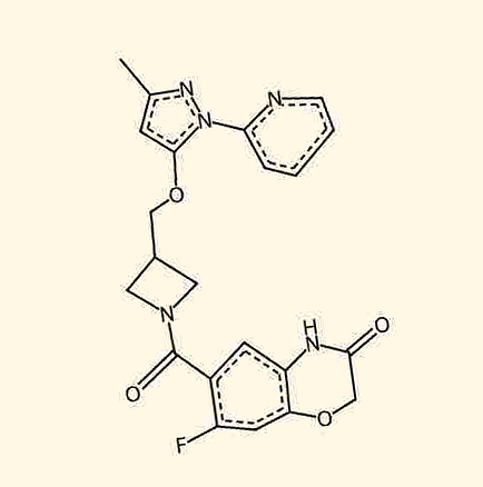 Cc1cc(OCC2CN(C(=O)c3cc4c(cc3F)OCC(=O)N4)C2)n(-c2ccccn2)n1